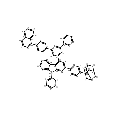 c1ccc(-c2nc(-c3ccc(-c4cccc5ccccc45)cc3)nc(-c3cc(-c4ccc(C56CC7CC(CC(C7)C5)C6)cc4)cc4c3c3ccccc3n4-c3ccccc3)n2)cc1